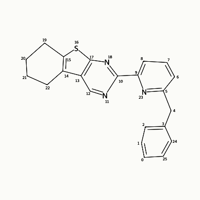 c1ccc(Cc2cccc(-c3ncc4c5c(sc4n3)CCCC5)n2)cc1